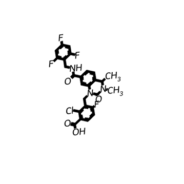 CC1c2ccc(C(=O)NCc3c(F)cc(F)cc3F)cc2N(Cc2c(F)ccc(C(=O)O)c2Cl)C(=O)N1C